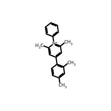 Cc1ccc(-c2cc(C)[n+](-c3ccccc3)c(C)c2)c(C)c1